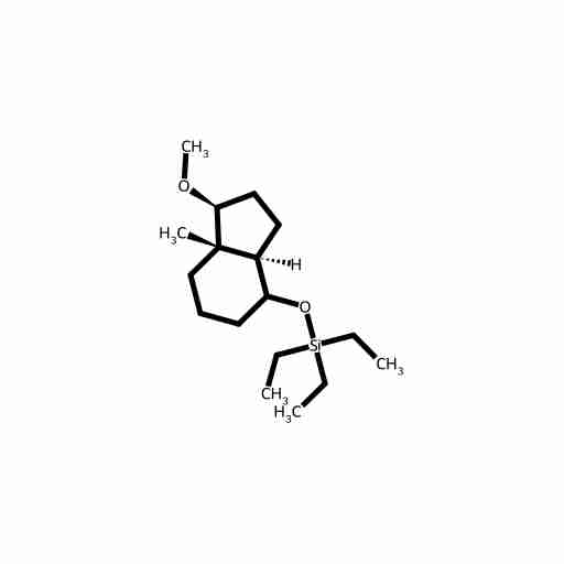 CC[Si](CC)(CC)OC1CCC[C@]2(C)[C@@H](OC)CC[C@@H]12